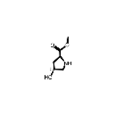 COC(=O)C1C[C@H](O)CN1